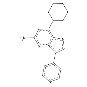 Nc1cc(C2CCCCC2)c2ncc(-c3ccncc3)n2n1